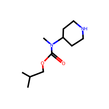 CC(C)COC(=O)N(C)C1CCNCC1